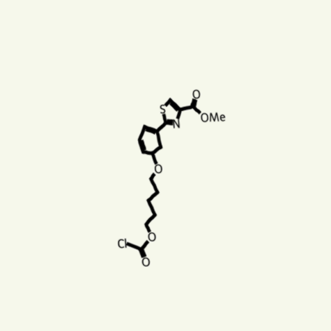 COC(=O)c1csc(C2=CC=CC(OCCCCCOC(=O)Cl)C2)n1